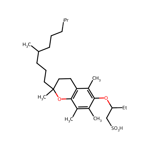 CCC(CS(=O)(=O)O)Oc1c(C)c(C)c2c(c1C)CCC(C)(CCCC(C)CCCC(C)C)O2